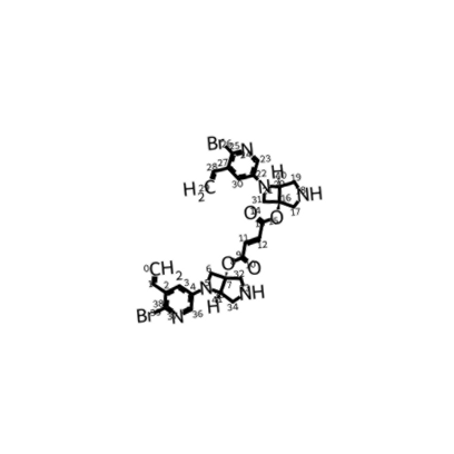 C=Cc1cc(N2C[C@@]3(OC(=O)/C=C/C(=O)O[C@]45CNC[C@@H]4N(c4cnc(Br)c(C=C)c4)C5)CNC[C@H]23)cnc1Br